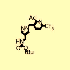 CC(=O)c1nc(C(F)(F)F)ccc1Cn1cc(CNC(=O)OC(C)(C)C)cn1